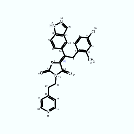 O=C1S/C(=C(/Cc2ccc(Cl)cc2C(F)(F)F)c2ccc3[nH]ncc3c2)C(=O)N1CCc1ccncc1